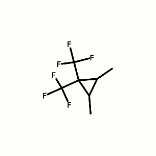 CC1C(C)C1(C(F)(F)F)C(F)(F)F